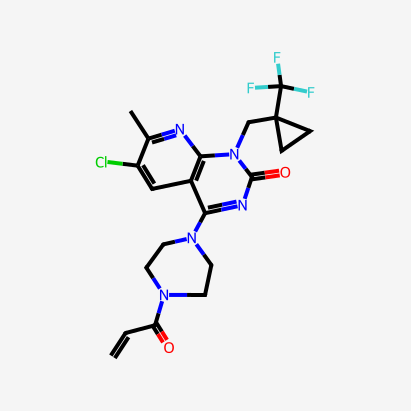 C=CC(=O)N1CCN(c2nc(=O)n(CC3(C(F)(F)F)CC3)c3nc(C)c(Cl)cc23)CC1